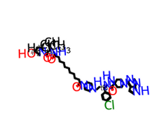 C[C@@H]1C[C@@H](O)CN1C(=O)[C@@H](NC(=O)CCCCCCCCCC(=O)N1CCN(CC[C@H](NC(=O)C2(N)CCN(c3ncnc4[nH]ccc34)CC2)c2ccc(Cl)cc2)CC1)C(C)(C)C